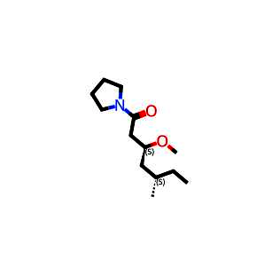 CC[C@H](C)C[C@@H](CC(=O)N1CCCC1)OC